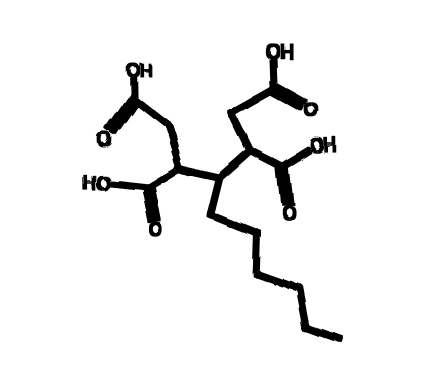 CCCCCCC(C(CC(=O)O)C(=O)O)C(CC(=O)O)C(=O)O